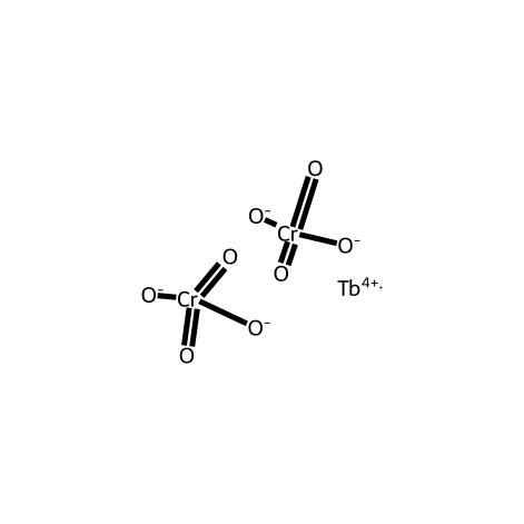 [O]=[Cr](=[O])([O-])[O-].[O]=[Cr](=[O])([O-])[O-].[Tb+4]